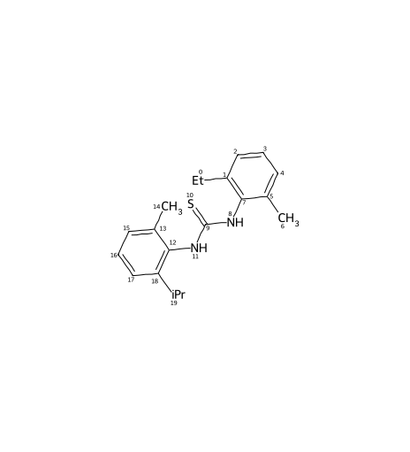 CCc1cccc(C)c1NC(=S)Nc1c(C)cccc1C(C)C